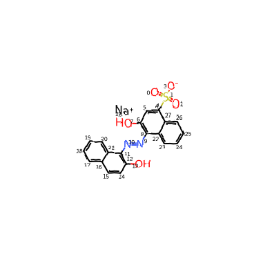 O=S(=O)([O-])c1cc(O)c(N=Nc2c(O)ccc3ccccc23)c2ccccc12.[Na+]